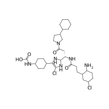 NC1CCC(Cl)CC1CCC(=O)N[C@@H](CC(=O)N1CCC(C2CCCCC2)C1)C1NC(Cl)=C(C2CCC(NC(=O)O)CC2)N1